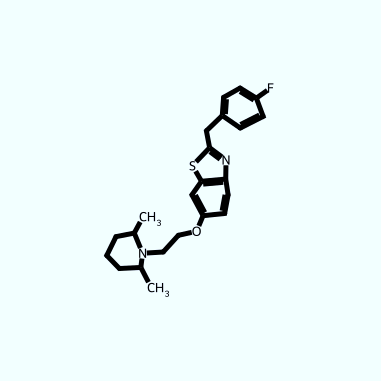 CC1CCCC(C)N1CCOc1ccc2nc(Cc3ccc(F)cc3)sc2c1